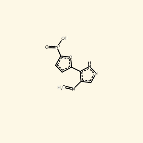 C=Nc1cn[nH]c1-c1ccc([N+](=O)O)o1